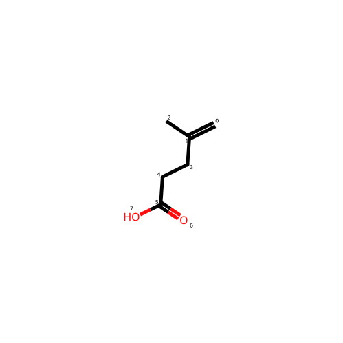 C=C(C)CCC(=O)O